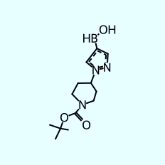 CC(C)(C)OC(=O)N1CCC(n2cc(BO)cn2)CC1